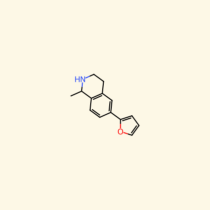 CC1NCCc2cc(-c3ccco3)ccc21